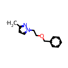 [CH2]c1ccn(CCOCc2ccccc2)n1